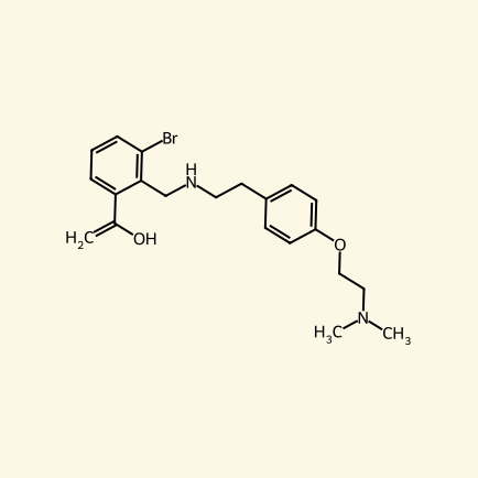 C=C(O)c1cccc(Br)c1CNCCc1ccc(OCCN(C)C)cc1